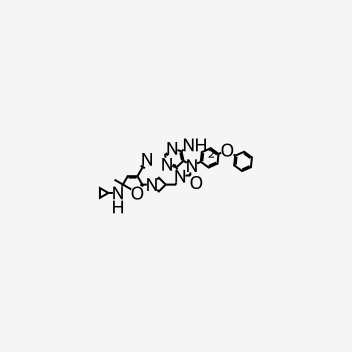 CC(C)(/C=C(/C#N)C(=O)N1CC(Cn2c(=O)n(-c3ccc(Oc4ccccc4)cc3)c3c(N)ncnc32)C1)NC1CC1